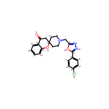 O=C1CC2(CCN(Cc3nnc(-c4ccc(Cl)cc4)o3)CC2)Oc2ccccc21